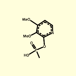 COc1ccnc(OP(C)(=O)O)c1OC